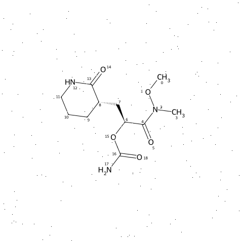 CON(C)C(=O)[C@H](C[C@@H]1CCCNC1=O)OC(N)=O